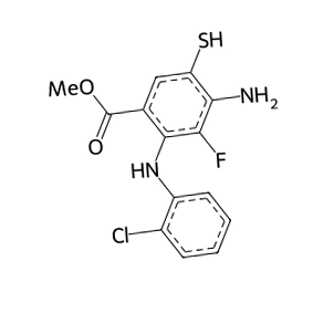 COC(=O)c1cc(S)c(N)c(F)c1Nc1ccccc1Cl